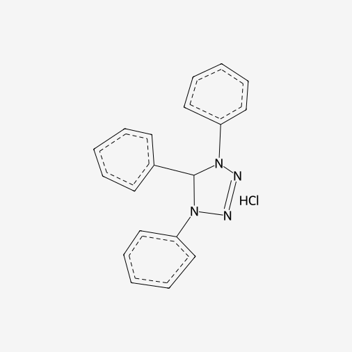 Cl.c1ccc(C2N(c3ccccc3)N=NN2c2ccccc2)cc1